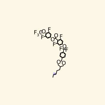 C/C=C/CCC1COC(c2ccc(C(F)(F)Oc3cc(F)c(C(=O)Oc4cc(F)c(OC(F)(F)F)c(F)c4)c(F)c3)cc2)OC1